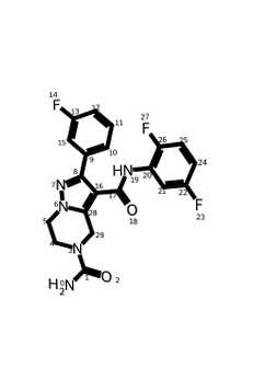 NC(=O)N1CCn2nc(-c3cccc(F)c3)c(C(=O)Nc3cc(F)ccc3F)c2C1